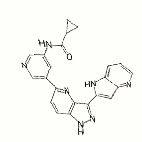 O=C(Nc1cncc(-c2ccc3[nH]nc(-c4cc5ncccc5[nH]4)c3n2)c1)C1CC1